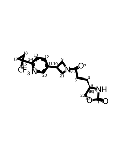 O=C1N[C@H](CCC(=O)N2CC(c3ccc(C4(C(F)(F)F)CC4)nc3)C2)CO1